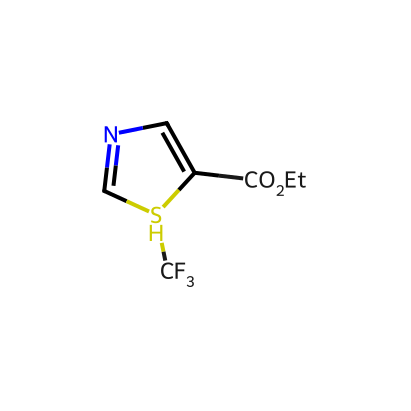 CCOC(=O)C1=CN=C[SH]1C(F)(F)F